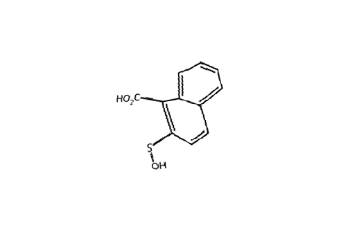 O=C(O)c1c(SO)ccc2ccccc12